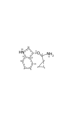 NC(=O)C1CC1.c1ccc2[nH]ccc2c1